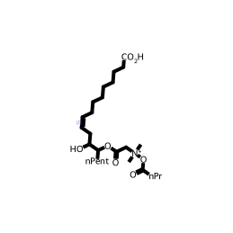 CCCCCC(OC(=O)C[N+](C)(C)OC(=O)CCC)C(O)C/C=C\CCCCCCCC(=O)O